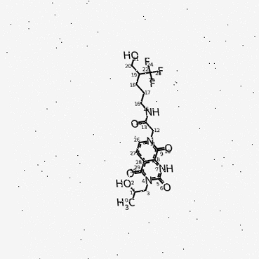 CC(O)Cn1c(=O)[nH]c2c(=O)n(CC(=O)NCCCC(CO)C(F)(F)F)ccc2c1=O